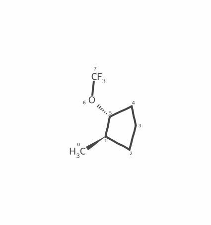 C[C@@H]1CCC[C@H]1OC(F)(F)F